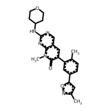 Cc1cc(-c2ccc(C)c(-c3cc4cnc(NC5CCOCC5)nc4n(C)c3=O)c2)on1